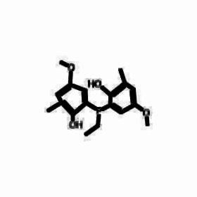 CCP(c1cc(OC)cc(C)c1O)c1cc(OC)cc(C)c1O